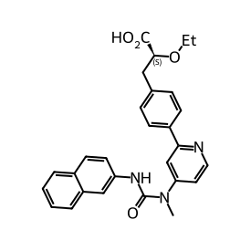 CCO[C@@H](Cc1ccc(-c2cc(N(C)C(=O)Nc3ccc4ccccc4c3)ccn2)cc1)C(=O)O